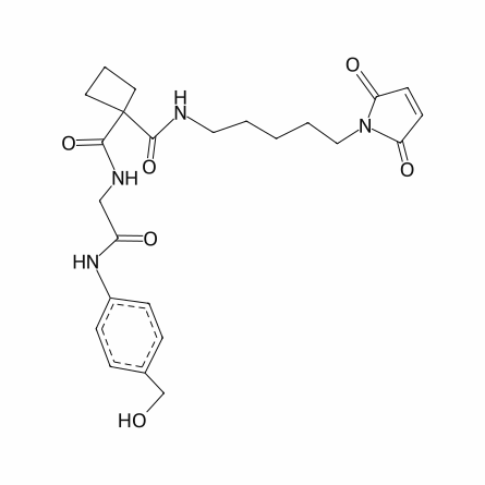 O=C(CNC(=O)C1(C(=O)NCCCCCN2C(=O)C=CC2=O)CCC1)Nc1ccc(CO)cc1